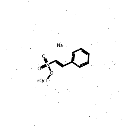 CCCCCCCCOS(=O)(=O)C=Cc1ccccc1.[Na]